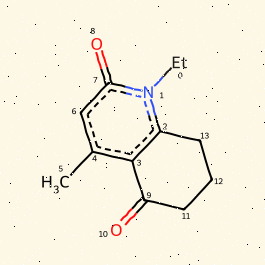 CCn1c2c(c(C)cc1=O)C(=O)CCC2